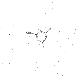 O=Cc1[c]c(F)cc(F)c1